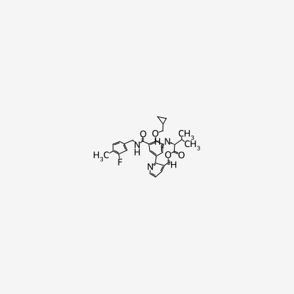 [2H]C(OC(=O)[C@@H](N)C(C)C)c1cccnc1-c1ccc(OCC2CC2)c(C(=O)NCc2ccc(C)c(F)c2)c1